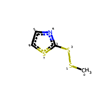 CSSc1nccs1